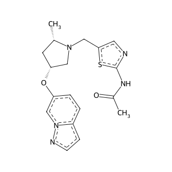 CC(=O)Nc1ncc(CN2C[C@H](Oc3ccc4ccnn4c3)C[C@@H]2C)s1